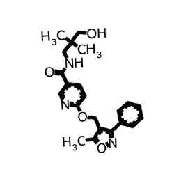 Cc1onc(-c2ccccc2)c1COc1ccc(C(=O)NCC(C)(C)CO)cn1